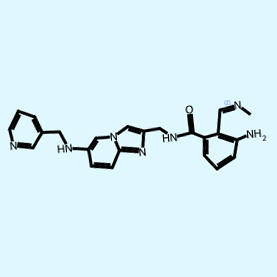 C/N=C\c1c(N)cccc1C(=O)NCc1cn2cc(NCc3cccnc3)ccc2n1